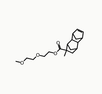 COCCOCCOC(=O)C1(C)CC2CC1C1C3C=CC(C3)C21